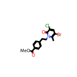 COC(=O)c1ccc(CCn2c(C)c(Br)cc(Cl)c2=O)cc1